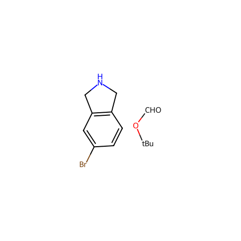 Brc1ccc2c(c1)CNC2.CC(C)(C)OC=O